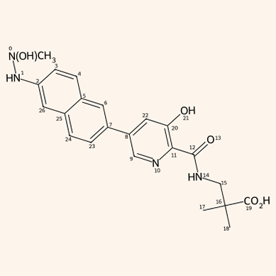 CN(O)Nc1ccc2cc(-c3cnc(C(=O)NCC(C)(C)C(=O)O)c(O)c3)ccc2c1